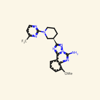 COc1cccc2c1nc(N)n1nc([C@@H]3CCCN(c4nccc(C(F)(F)F)n4)C3)nc21